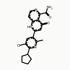 Cc1nc(C2CCCC2)c(Cl)cc1-c1cc(=O)c2c(C(N)=O)nccc2[nH]1